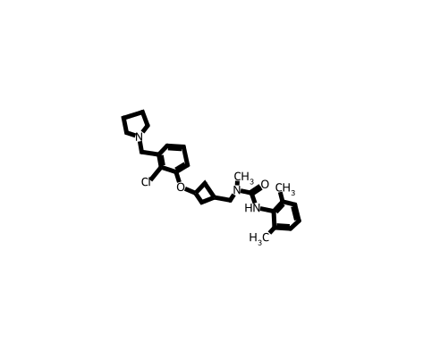 Cc1cccc(C)c1NC(=O)N(C)CC1CC(Oc2cccc(CN3CCCC3)c2Cl)C1